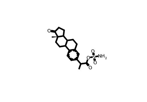 CC(C(=O)OS(N)(=O)=O)c1ccc2c(c1)CCC1C2CC[C@]2(C)C(=O)CCC12